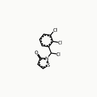 O=c1ccsn1C(Cl)c1cccc(Cl)c1Cl